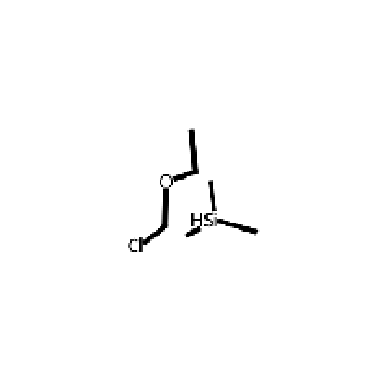 CCOCCl.C[SiH](C)C